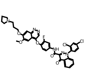 COc1cc2c(Oc3ccc(NC(=O)c4nn(-c5ccc(Cl)cc5Cl)c5ccccc5c4=O)cc3F)cnnc2cc1OCCCN1CCCC1